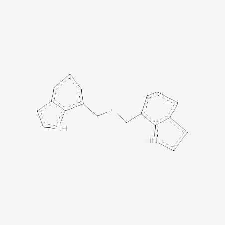 c1cc(COCc2cccc3cc[nH]c23)c2[nH]ccc2c1